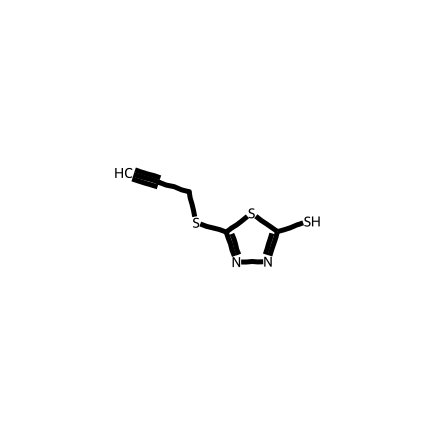 C#CCSc1nnc(S)s1